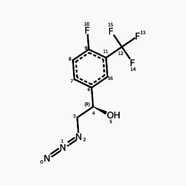 [N-]=[N+]=NC[C@H](O)c1ccc(F)c(C(F)(F)F)c1